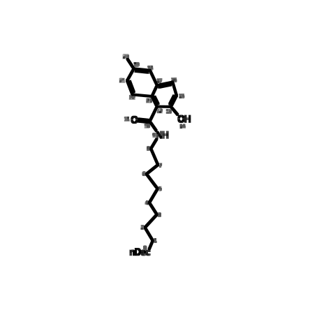 CCCCCCCCCCCCCCCCCCNC(=O)c1c(O)ccc2cc(C)ccc12